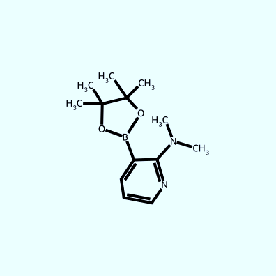 CN(C)c1ncccc1B1OC(C)(C)C(C)(C)O1